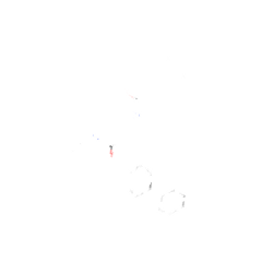 CC(C)(C)OC(=O)N1CC[C@H](c2cccc(-c3ccccc3)c2)[C@@H](C(=O)NC2CC2)C1